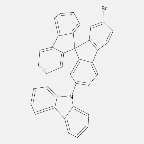 Brc1ccc2c(c1)C1(c3ccccc3-c3ccccc31)c1cc(-n3c4ccccc4c4ccccc43)ccc1-2